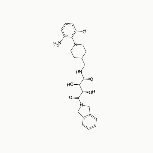 Nc1cccc(Cl)c1N1CCC(CNC(=O)[C@H](O)[C@@H](O)C(=O)N2Cc3ccccc3C2)CC1